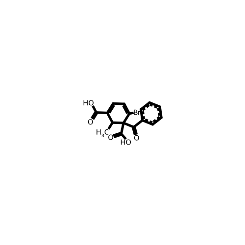 CC1C(C(=O)O)=CC=C(Br)C1(C(=O)O)C(=O)c1ccccc1